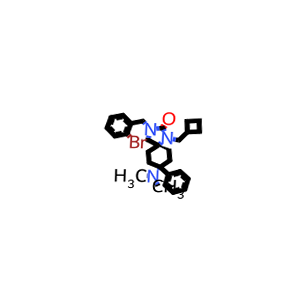 CN(C)[C@]1(c2ccccc2)CC[C@@]2(CC1)CN(Cc1ccccc1Br)C(=O)N2CC1CCC1